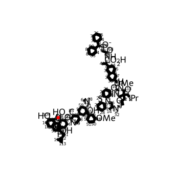 C=CCC1(CC(C)C)C(=O)NC(=O)NC1=O.CC(CN1c2ccccc2Sc2ccccc21)N(C)C.COc1ccc2cc([C@H](C)C(=O)O)ccc2c1.COc1cccc([C@@]2(O)CCCC[C@@H]2CN(C)C)c1.NC(=O)C[S+]([O-])C(c1ccccc1)c1ccccc1.O=C(O)c1cccnc1.O=C1CC[C@@]2(O)[C@H]3Cc4ccc(O)c5c4[C@@]2(CCN3CC2CC2)[C@H]1O5